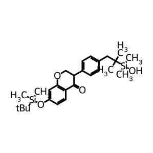 CC(C)(Cc1ccc(C2COc3cc(O[Si](C)(C)C(C)(C)C)ccc3C2=O)cc1)[Si](C)(C)O